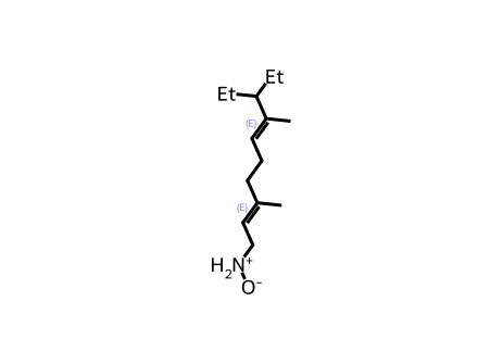 CCC(CC)/C(C)=C/CC/C(C)=C/C[NH2+][O-]